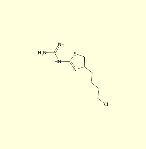 N=C(N)Nc1nc(CCCCCl)cs1